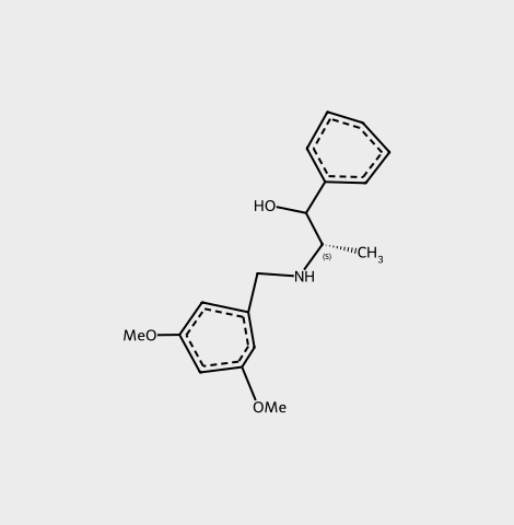 COc1cc(CN[C@@H](C)C(O)c2ccccc2)cc(OC)c1